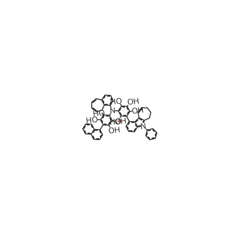 Oc1c(O)c(-c2cccc3c2c2c(n3-c3ccccc3)CCCC=C2)c(O)c(N(c2cccc3c2CC=CC=C3)c2c(O)c(O)c(-c3cccc4ccccc34)c(O)c2O)c1O